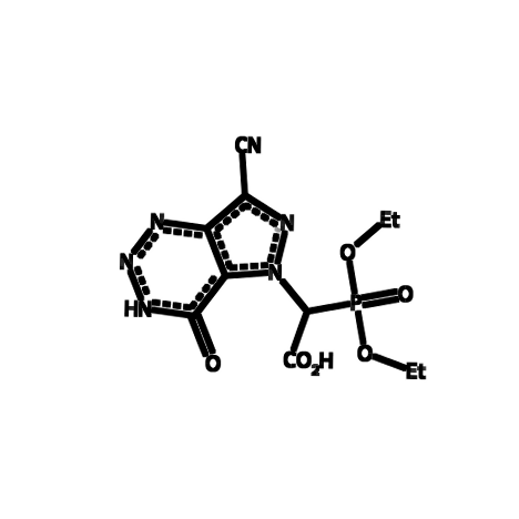 CCOP(=O)(OCC)C(C(=O)O)n1nc(C#N)c2nn[nH]c(=O)c21